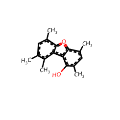 Cc1cc(C)c2oc3c(C)cc(C)c(O)c3c2c1C